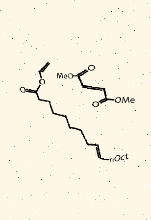 C=COC(=O)CCCCCCCC=CCCCCCCCC.COC(=O)C=CC(=O)OC